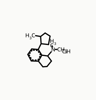 CC1CCCC1c1cccc2c1C(N(C)C)CCC2.Cl